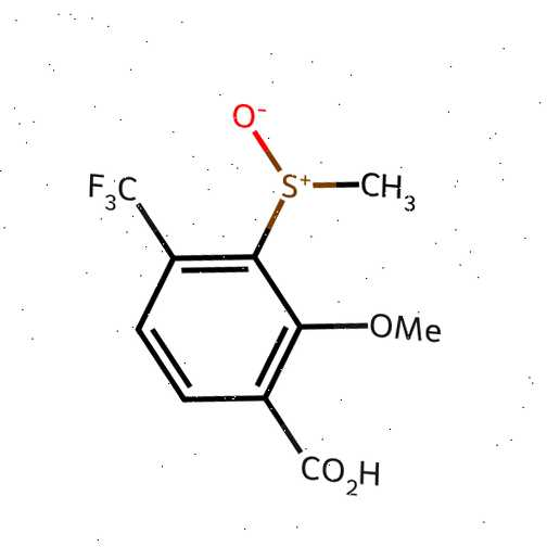 COc1c(C(=O)O)ccc(C(F)(F)F)c1[S+](C)[O-]